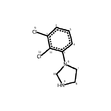 Clc1cccc(N2CCNC2)c1Cl